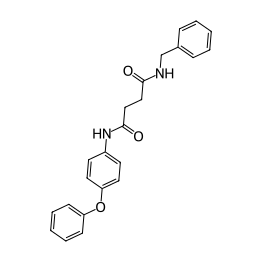 O=C(CCC(=O)Nc1ccc(Oc2ccccc2)cc1)NCc1ccccc1